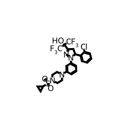 O=S(=O)(C1CC1)N1CCN(c2cccc(N3N=C(C(O)(C(F)(F)F)C(F)(F)F)CC3c3ccccc3Cl)c2)CC1